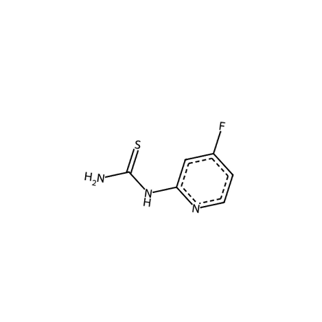 NC(=S)Nc1cc(F)ccn1